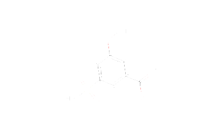 COc1cc(C(=O)O)cc(S(C)(=O)=O)c1